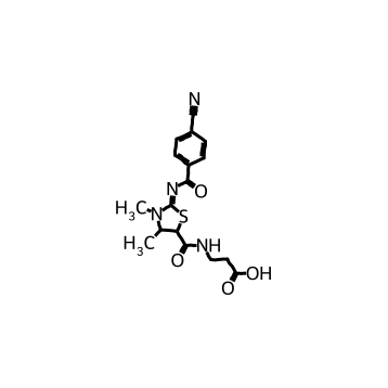 CC1C(C(=O)NCCC(=O)O)SC(=NC(=O)c2ccc(C#N)cc2)N1C